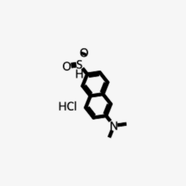 CN(C)c1ccc2cc([SH](=O)=O)ccc2c1.Cl